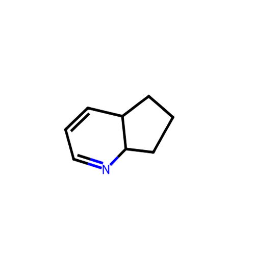 C1=CC2CCCC2N=C1